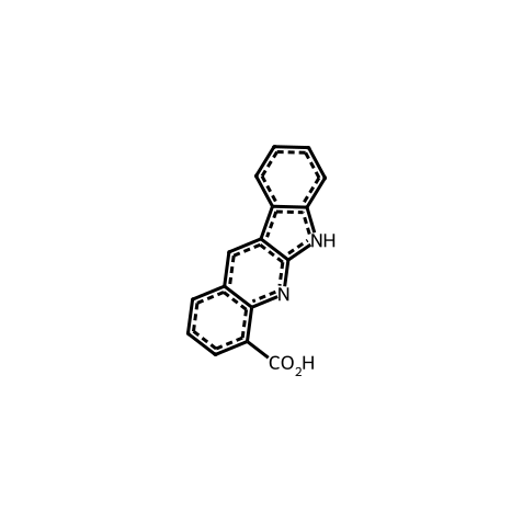 O=C(O)c1cccc2cc3c(nc12)[nH]c1ccccc13